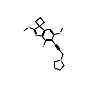 CNC1=Nc2c(cc(OC)c(C#CCN3CCCC3)c2F)C12CCC2